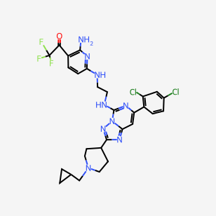 Nc1nc(NCCNc2nc(-c3ccc(Cl)cc3Cl)cc3nc(C4CCN(CC5CC5)CC4)nn23)ccc1C(=O)C(F)(F)F